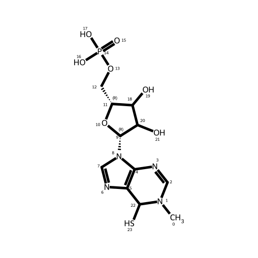 CN1C=Nc2c(ncn2[C@@H]2O[C@H](COP(=O)(O)O)C(O)C2O)C1S